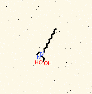 CCCCCCCCCCCN1CCN=C1CC(O)O